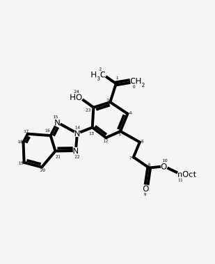 C=C(C)c1cc(CCC(=O)OCCCCCCCC)cc(-n2nc3ccccc3n2)c1O